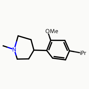 COc1cc(C(C)C)ccc1C1CCN(C)CC1